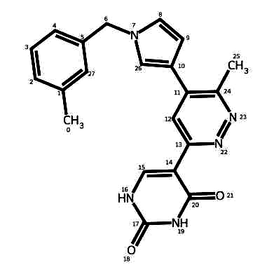 Cc1cccc(Cn2ccc(-c3cc(-c4c[nH]c(=O)[nH]c4=O)nnc3C)c2)c1